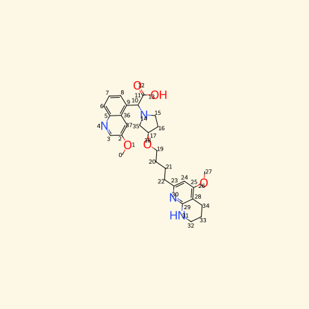 COc1cnc2cccc(C(C(=O)O)N3CC[C@@H](OCCCCc4cc(OC)c5c(n4)NCCC5)C3)c2c1